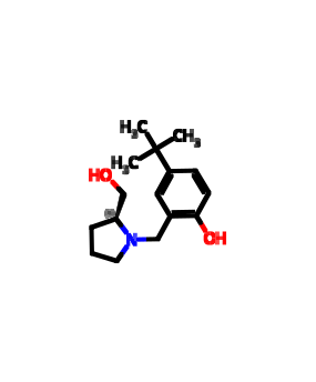 CC(C)(C)c1ccc(O)c(CN2CCC[C@H]2CO)c1